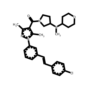 Cc1nn(-c2cccc(C=Cc3ccc(Cl)cc3)c2)c(C)c1C(=O)N1CCC(N(C)C2CCOCC2)C1